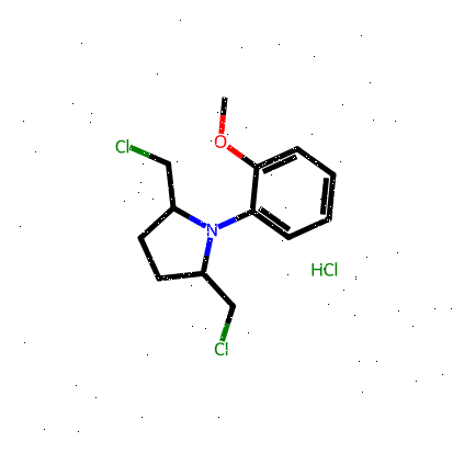 COc1ccccc1N1C(CCl)CCC1CCl.Cl